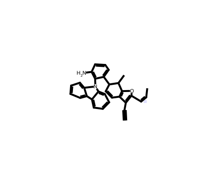 C#Cc1c(/C=C\C)oc2c1C=CC(c1cccc(N)c1-n1c3ccccc3c3ccccc31)C2C